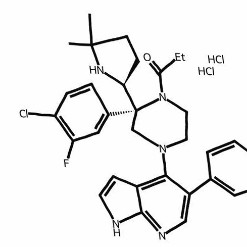 CCC(=O)N1CCN(c2c(-c3ccccc3)cnc3[nH]ccc23)C[C@@]1(c1ccc(Cl)c(F)c1)[C@@H]1CCC(C)(C)N1.Cl.Cl